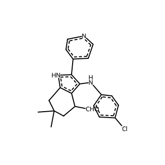 CC1(C)Cc2[nH]c(-c3ccncc3)c(Nc3ccc(Cl)cc3)c2C(C=O)C1